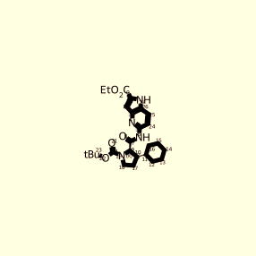 CCOC(=O)c1cc2nc(NC(=O)[C@H]3[C@H](C4CCCCC4)CCN3C(=O)OC(C)(C)C)ccc2[nH]1